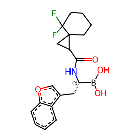 O=C(N[C@@H](Cc1coc2ccccc12)B(O)O)C1CC12CCCCC2(F)F